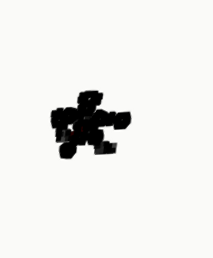 CC(C)(C)c1ccc(N2c3cc(C(C)(C)c4ccccc4)ccc3B3c4cc5c(cc4N(c4ccc6c(c4)C(C)(C)CCC6(C)C)c4cc(C(C)(C)C)cc2c43)C(C)(C)CCC5(C)C)c(-c2cccc(-c3ccccc3)c2)c1